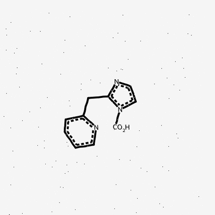 O=C(O)n1ccnc1Cc1ccccn1